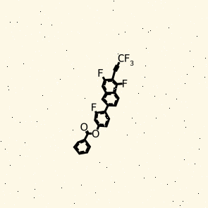 O=C(Oc1ccc(-c2ccc3c(F)c(C#CC(F)(F)F)c(F)cc3c2)c(F)c1)c1ccccc1